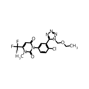 CCOCn1nnnc1-c1cc(-n2c(=O)cc(C(F)(F)F)n(C)c2=O)ccc1Cl